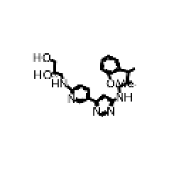 COc1ccccc1C(C)[C@H](C)CNc1cc(-c2ccc(NC[C@H](O)CO)nc2)ncn1